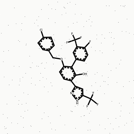 Oc1c(-c2cc(C(F)(F)F)[nH]n2)ccc(OCc2ccc(Cl)cc2)c1-c1ccc(F)c(C(F)(F)F)c1